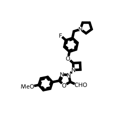 COc1ccc(C2=NN(N3CCC3Oc3ccc(CN4CCCC4)c(F)c3)C(C=O)O2)cc1